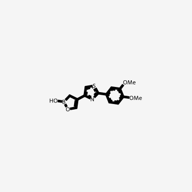 COc1ccc(-c2nc(C3=COB(O)C3)cs2)cc1OC